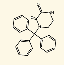 O=C1NCCN(C(c2ccccc2)(c2ccccc2)c2ccccc2)C1=O